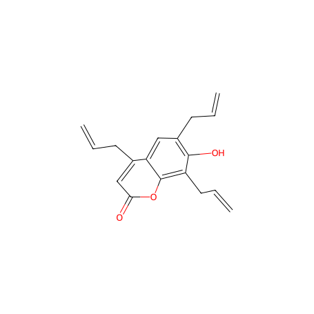 C=CCc1cc2c(CC=C)cc(=O)oc2c(CC=C)c1O